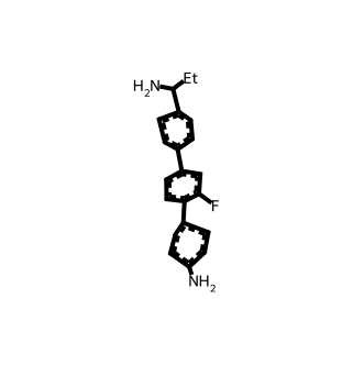 CCC(N)c1ccc(-c2ccc(-c3ccc(N)cc3)c(F)c2)cc1